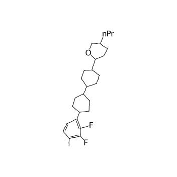 CCCC1CCC(C2CCC(C3CCC(c4ccc(C)c(F)c4F)CC3)CC2)OC1